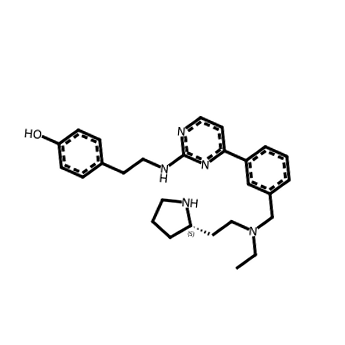 CCN(CC[C@@H]1CCCN1)Cc1cccc(-c2ccnc(NCCc3ccc(O)cc3)n2)c1